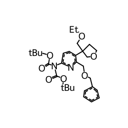 CCOCC1(c2ccc(N(C(=O)OC(C)(C)C)C(=O)OC(C)(C)C)nc2COCc2ccccc2)CCOC1